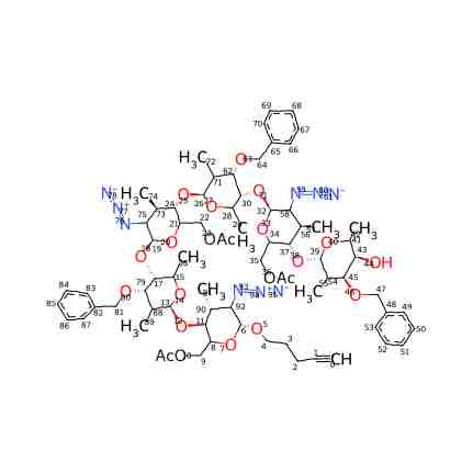 C#CCCCO[C@@H]1OC(COC(C)=O)[C@@H](O[C@@H]2OC(C)[C@@H](O[C@@H]3OC(COC(C)=O)[C@@H](O[C@@H]4OC(C)[C@@H](O[C@@H]5OC(COC(C)=O)[C@@H](O[C@@H]6OC(C)[C@@H](O)[C@@H](OCc7ccccc7)C6C)[C@H](C)C5N=[N+]=[N-])[C@@H](OCc5ccccc5)C4C)[C@H](C)C3N=[N+]=[N-])[C@@H](OCc3ccccc3)C2C)[C@H](C)C1N=[N+]=[N-]